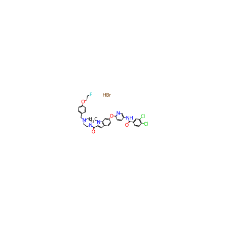 Br.Cn1c(C(=O)N2CCN(Cc3ccc(OCCF)cc3)CC2)cc2ccc(Oc3ccc(NC(=O)c4ccc(Cl)c(Cl)c4)cn3)cc21